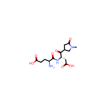 CN1CC(C(=O)[C@H](CC(=O)O)NC(=O)[C@@H](N)CCC(=O)O)CC1=O